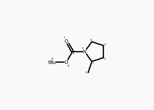 [CH2]C1CCCN1C(=O)OC(C)(C)C